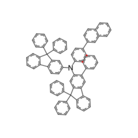 c1ccc(-c2cc3c(cc2N(c2ccc(-c4ccc5ccccc5c4)cc2)c2ccc4c(c2)C(c2ccccc2)(c2ccccc2)c2ccccc2-4)C(c2ccccc2)(c2ccccc2)c2ccccc2-3)cc1